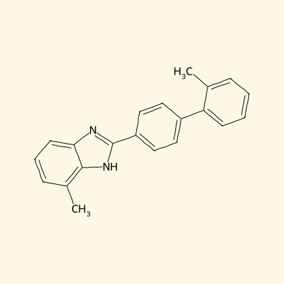 Cc1ccccc1-c1ccc(-c2nc3cccc(C)c3[nH]2)cc1